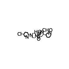 O=CN(O)C(CS(=O)(=O)N1CCN(c2ccc(Cl)cn2)CC1)c1cccnc1